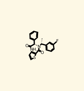 C[C@H](c1cccc(F)c1)N(C(=O)c1cccs1)[C@H](C(N)=O)c1ccccc1